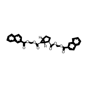 O=C(OCOC(=O)[C@H]1[C@@H]2CC[C@@H](C(=O)OCOC(=O)c3ccc4ccccc4c3)[C@@H]21)c1ccc2ccccc2c1